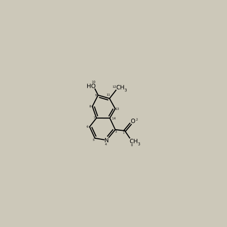 CC(=O)c1nccc2cc(O)c(C)cc12